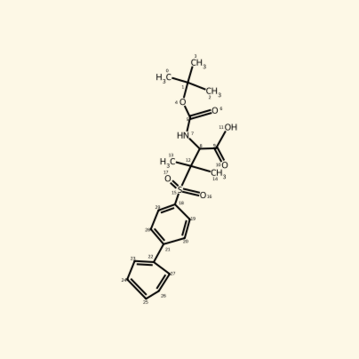 CC(C)(C)OC(=O)NC(C(=O)O)C(C)(C)S(=O)(=O)c1ccc(-c2ccccc2)cc1